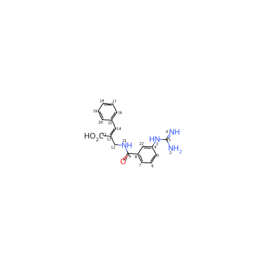 N=C(N)Nc1cccc(C(=O)NCC(=Cc2ccccc2)C(=O)O)c1